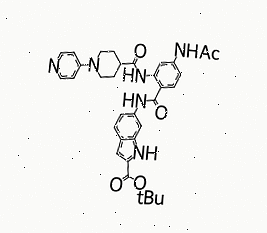 CC(=O)Nc1ccc(C(=O)Nc2ccc3cc(C(=O)OC(C)(C)C)[nH]c3c2)c(NC(=O)C2CCN(c3ccncc3)CC2)c1